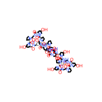 O=C(O)CNC(=O)[C@@H]1C[C@@H](O)CN1C(=O)[C@@H]1CCCN1C(=O)CNC(=O)[C@@H]1C[C@@H](O)CN1C(=O)[C@@H]1CCCN1C(=O)CNC(=O)[C@@H]1C[C@@H](O)CN1C(=O)[C@@H]1CCCN1C(=O)CNC(=O)[C@@H]1C[C@@H](O)CN1C(=O)[C@@H]1CCCN1C(=O)CNC(=O)[C@@H]1C[C@@H](O)CN1C(=O)[C@H](CS)NC(=O)CNC(=O)[C@@H]1C[C@@H](O)CN1C(=O)[C@@H]1CCCN1C(=O)CNC(=O)[C@@H]1C[C@@H](O)CN1C(=O)[C@@H]1CCCN1